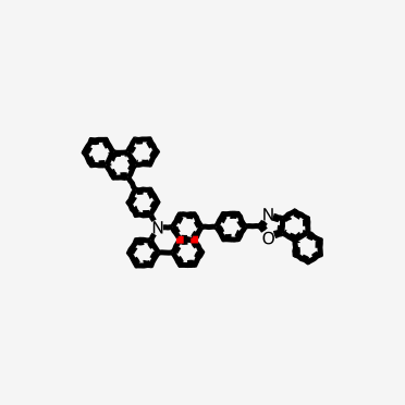 c1ccc(-c2ccccc2N(c2ccc(-c3ccc(-c4nc5ccc6ccccc6c5o4)cc3)cc2)c2ccc(-c3cc4ccccc4c4ccccc34)cc2)cc1